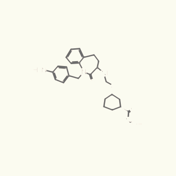 Nc1ccc(CN2C(=O)C(NCC[C@H]3CCC[C@H](C(=O)NO)C3)CCc3ccccc32)cc1